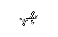 FC(F)(F)c1ccc2c(-c3ccc4ccccc4c3)c3cc(-c4ccc(-c5nc(-c6ccccc6)nc(-c6ccccc6)n5)cc4)ccc3c(-c3ccc4ccccc4c3)c2c1